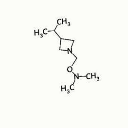 CC(C)C1CN(CON(C)C)C1